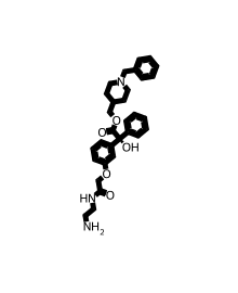 NCCNC(=O)COc1cccc([C@](O)(C(=O)OCC2CCN(Cc3ccccc3)CC2)c2ccccc2)c1